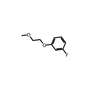 COCCOc1cccc(F)c1